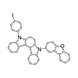 Ic1ccc(-n2c3ccccc3c3c4c5ccccc5n(-c5ccc6oc7ccccc7c6c5)c4ccc32)cc1